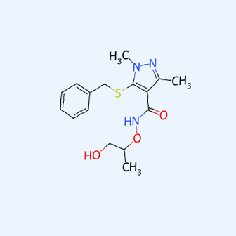 Cc1nn(C)c(SCc2ccccc2)c1C(=O)NOC(C)CO